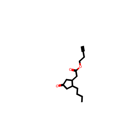 C#CCCOC(=O)CC1CC(=O)CC1CCCC